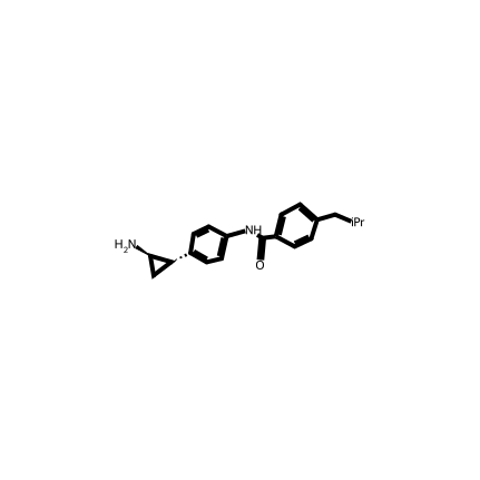 CC(C)Cc1ccc(C(=O)Nc2ccc([C@@H]3C[C@H]3N)cc2)cc1